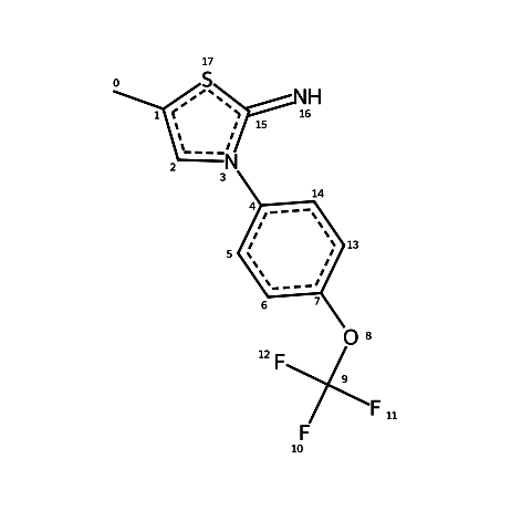 Cc1cn(-c2ccc(OC(F)(F)F)cc2)c(=N)s1